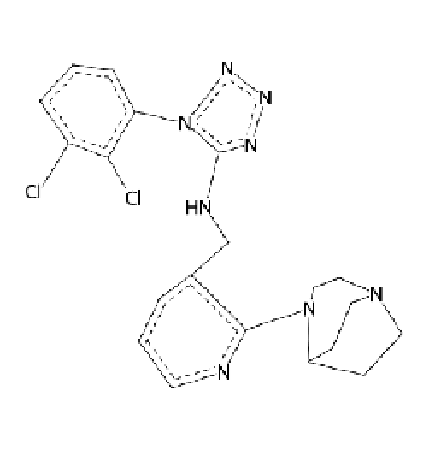 Clc1cccc(-n2nnnc2NCc2cccnc2N2CCN3CCC2CC3)c1Cl